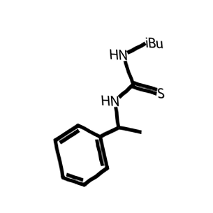 CCC(C)NC(=S)NC(C)c1ccccc1